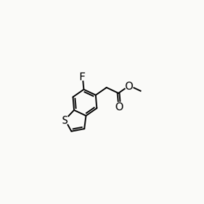 COC(=O)Cc1cc2ccsc2cc1F